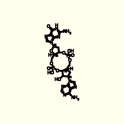 Nc1nc2c(ncn2[C@H]2CC3OP(=O)(O)OC[C@H]4C[C@@H](n5cnc6c(N)ncnc65)C(O)C4OP(=O)(O)OC[C@H]3O2)c(=O)[nH]1